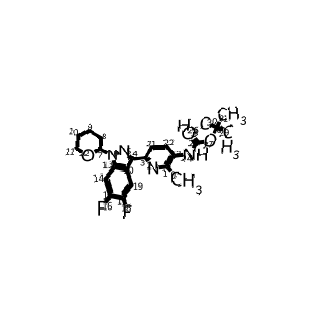 Cc1nc(-c2nn(C3CCCCO3)c3cc(F)c(F)cc23)ccc1NC(=O)OC(C)(C)C